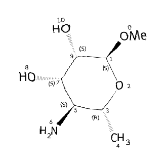 CO[C@H]1O[C@H](C)[C@@H](N)[C@H](O)[C@@H]1O